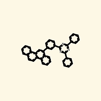 c1ccc(-c2nc(-c3ccccc3)nc(-c3cccc(-c4cc5c6ccccc6ccc5c5ccccc45)c3)n2)cc1